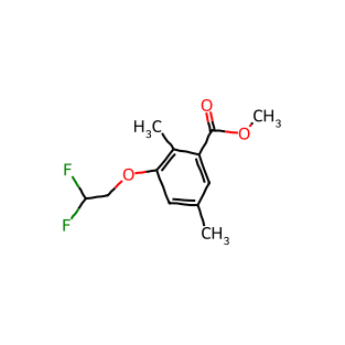 COC(=O)c1cc(C)cc(OCC(F)F)c1C